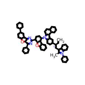 C=C/C(=C\c1c(C)n(-c2ccccc2)c2ccccc12)c1ccc2c(c1)c1c3ccccc3ccc1n2-c1ccc(-c2nc(-c3ccccc3)c3oc4ccc(-c5ccccc5)cc4c3n2)c2oc3ccccc3c12